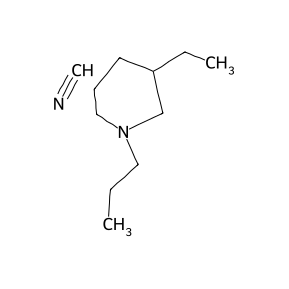 C#N.CCCN1CCCC(CC)C1